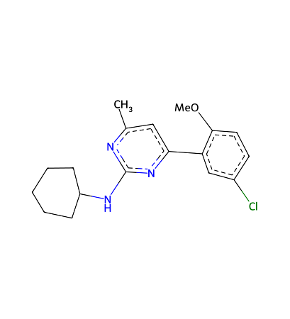 COc1ccc(Cl)cc1-c1cc(C)nc(NC2CCCCC2)n1